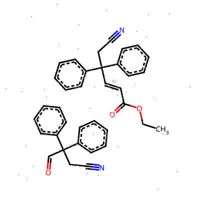 CCOC(=O)/C=C/C(CC#N)(c1ccccc1)c1ccccc1.N#CCC(C=O)(c1ccccc1)c1ccccc1